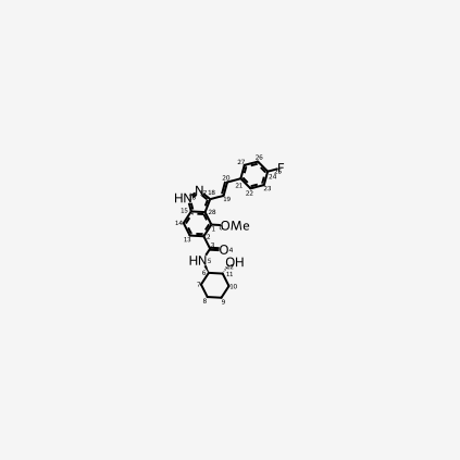 COc1c(C(=O)N[C@@H]2CCCC[C@H]2O)ccc2[nH]nc(/C=C/c3ccc(F)cc3)c12